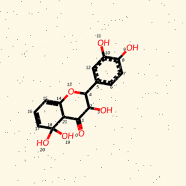 O=C1C(O)C(c2ccc(O)c(O)c2)OC2=CC=CC(O)(O)C12